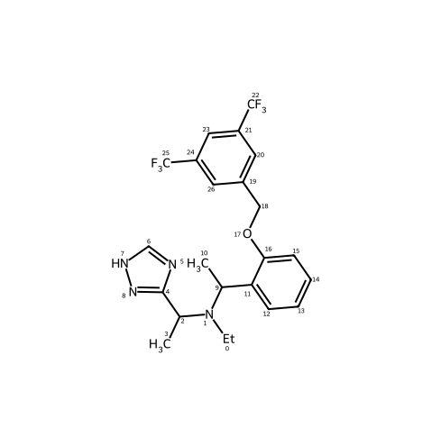 CCN(C(C)c1nc[nH]n1)C(C)c1ccccc1OCc1cc(C(F)(F)F)cc(C(F)(F)F)c1